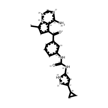 Cc1cc(C(=O)c2cccc(NC(=O)Nc3cc(C4CC4)n[nH]3)c2)c2c(N)ncnn12